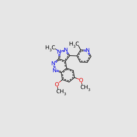 COc1cc(OC)c2nnc3c(c(-c4cccnc4C)nn3C)c2c1